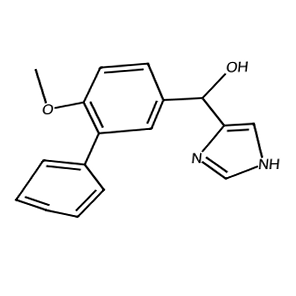 COc1ccc(C(O)c2c[nH]cn2)cc1-c1ccccc1